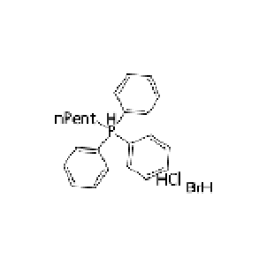 Br.CCCCC[PH](c1ccccc1)(c1ccccc1)c1ccccc1.Cl